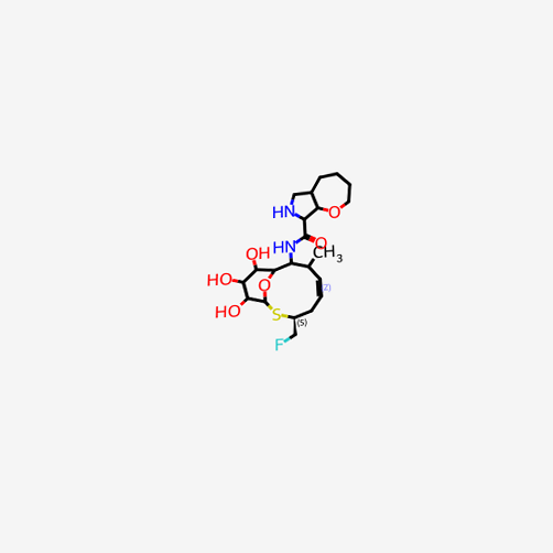 CC1/C=C\C[C@@H](CF)SC2OC(C(O)C(O)C2O)C1NC(=O)C1NCC2CCCCOC21